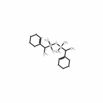 CC(C1=CCCCC1)[Si](C)(C)O[Si](C)(C)C(C)C1=CCCCC1